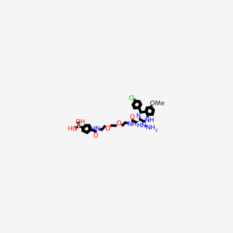 COc1ccc2c(c1)C(c1ccc(Cl)cc1)=N[C@@H](CC(=O)NCCOCCOCCNC(=O)c1ccc(B(O)O)cc1)C(NN)N2